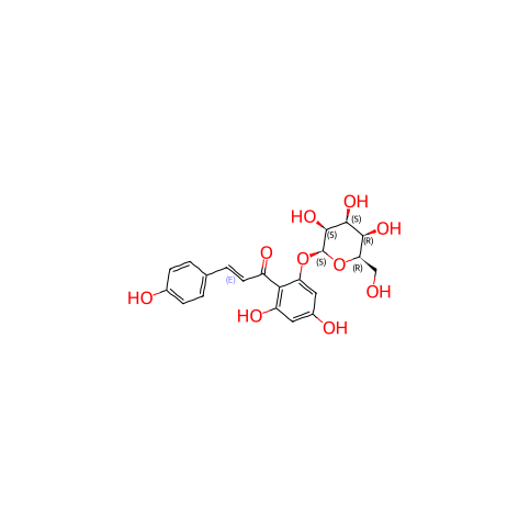 O=C(/C=C/c1ccc(O)cc1)c1c(O)cc(O)cc1O[C@@H]1O[C@H](CO)[C@H](O)[C@H](O)[C@@H]1O